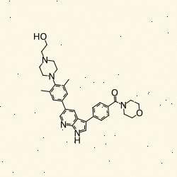 Cc1cc(-c2cnc3[nH]cc(-c4ccc(C(=O)N5CCOCC5)cc4)c3c2)cc(C)c1N1CCN(CCO)CC1